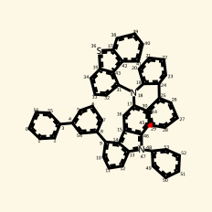 c1ccc(-c2cccc(-c3cccc4c3c3cc(N(c5ccccc5-c5ccccc5)c5cccc6sc7ccccc7c56)ccc3n4-c3ccccc3)c2)cc1